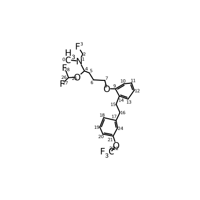 CN(CF)C(CCCOc1ccccc1CCc1cccc(OC(F)(F)F)c1)OC(F)F